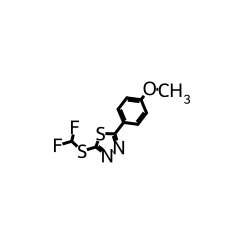 COc1ccc(-c2nnc(SC(F)F)s2)cc1